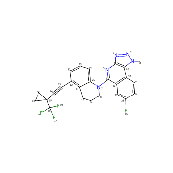 Cn1nnc2nc(N3CCCc4c(C#CC5(C(F)(F)F)CC5)cccc43)c3cc(F)ccc3c21